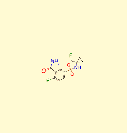 NC(=O)c1cc(S(=O)(=O)NC2(CF)CC2)ccc1F